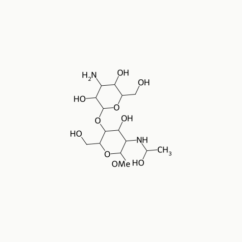 COC1OC(CO)C(OC2OC(CO)C(O)C(N)C2O)C(O)C1NC(C)O